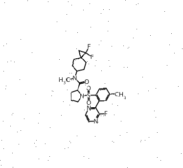 Cc1ccc(S(=O)(=O)N2CCC[C@H]2C(=O)N(C)C2CCC3(CC2)CC3(F)F)c(-c2nccnc2F)c1